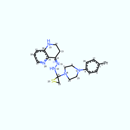 CC(C)c1ccc(N2CCN(C3(N/N=C4/CCNc5cccnc54)CS3)CC2)cc1